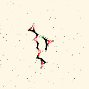 C(COCC1CO1)OCC1CO1.CC1OC1Cl